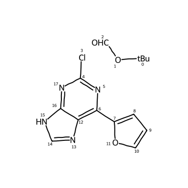 CC(C)(C)OC=O.Clc1nc(-c2ccco2)c2nc[nH]c2n1